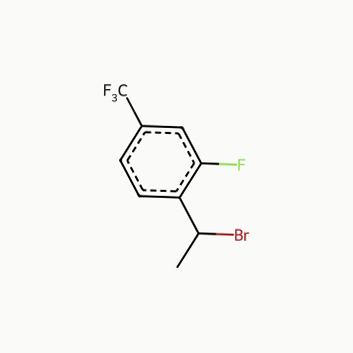 CC(Br)c1ccc(C(F)(F)F)cc1F